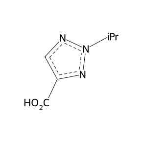 CC(C)n1ncc(C(=O)O)n1